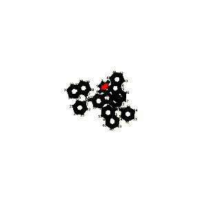 CC(C)(C)C1(C2(C(C)(C)C)c3ccccc3-c3ccc(N(c4ccccc4)c4cccc5ccccc45)cc32)c2ccccc2-c2ccc(N(c3ccccc3)c3cccc4ccccc34)cc21